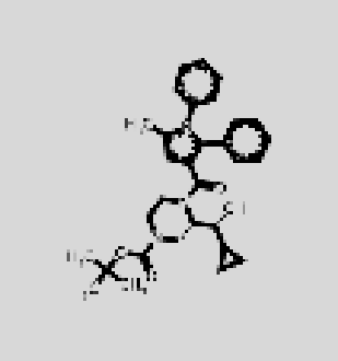 Cc1cc(C(=O)N2CCN(C(=O)OC(C)(C)C)C[C@H]2[C@H](O)C2CC2)c(-c2ccccc2)n1-c1ccccc1